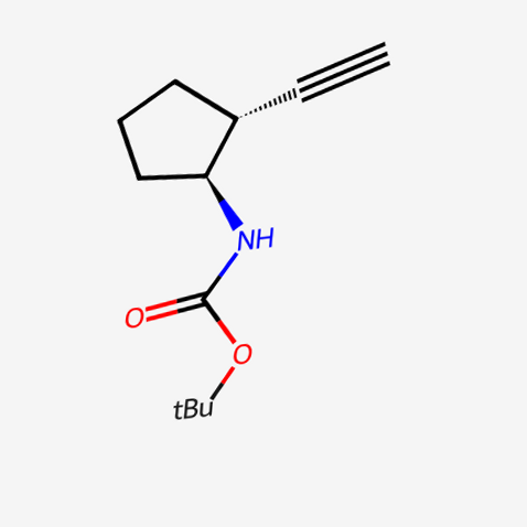 C#C[C@H]1CCC[C@@H]1NC(=O)OC(C)(C)C